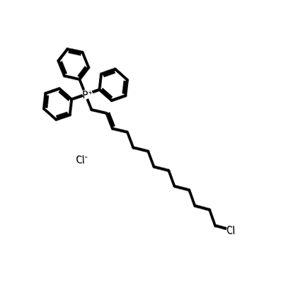 ClCCCCCCCCCCC=CC[P+](c1ccccc1)(c1ccccc1)c1ccccc1.[Cl-]